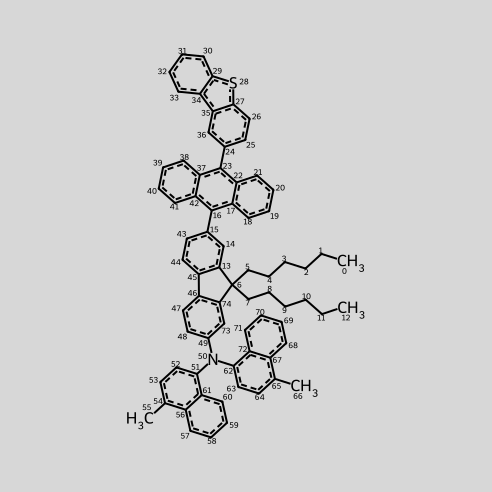 CCCCCCC1(CCCCCC)c2cc(-c3c4ccccc4c(-c4ccc5sc6ccccc6c5c4)c4ccccc34)ccc2-c2ccc(N(c3ccc(C)c4ccccc34)c3ccc(C)c4ccccc34)cc21